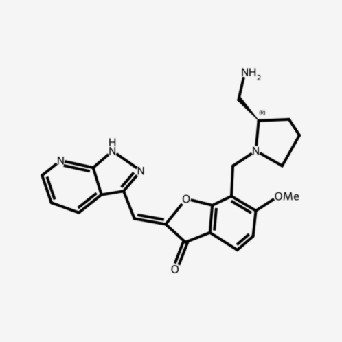 COc1ccc2c(c1CN1CCC[C@@H]1CN)OC(=Cc1n[nH]c3ncccc13)C2=O